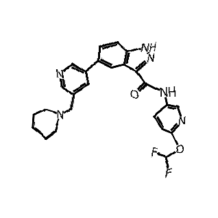 O=C(Nc1ccc(OC(F)F)nc1)c1n[nH]c2ccc(-c3cncc(CN4CCCCC4)c3)cc12